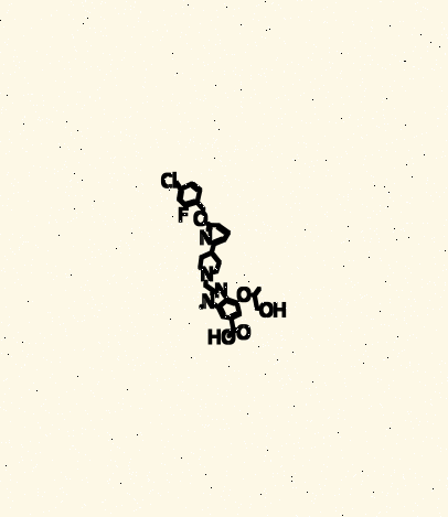 CC(CO)Oc1cc(C(=O)O)cc2c1nc(CN1CCC(c3cccc(OCc4ccc(Cl)cc4F)n3)CC1)n2C